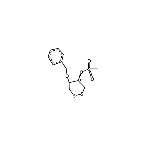 CS(=O)(=O)O[C@H]1CSSCC1OCc1ccccc1